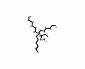 CCCCCC[Si](CCCCCC)(CCCCCC)C(N)CC